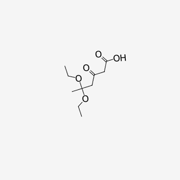 CCOC(C)(CC(=O)CC(=O)O)OCC